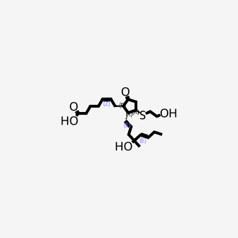 CC/C=C/C(C)(O)C/C=C/[C@H]1[C@H](SCCO)CC(=O)[C@@H]1C/C=C\CCCC(=O)O